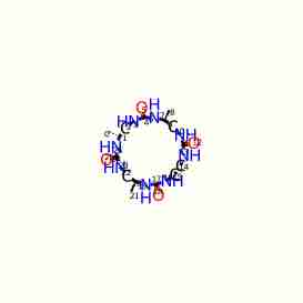 C[C@@H]1CNC(=O)N[C@@H](C)CNC(=O)NCCNC(=O)N[C@@H](C)CNC(=O)N1